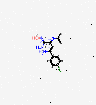 C=C(C)/N=C(\C=C(/N)c1ccc(Cl)cc1)C(/N)=N/O